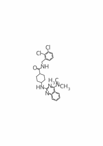 CN(C)c1nc(NC2CCC(C(=O)NCc3cccc(Cl)c3Cl)CC2)nc2ccccc12